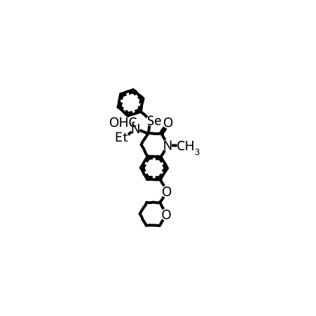 CCN(C=O)C1([Se]c2ccccc2)Cc2ccc(OC3CCCCO3)cc2N(C)C1=O